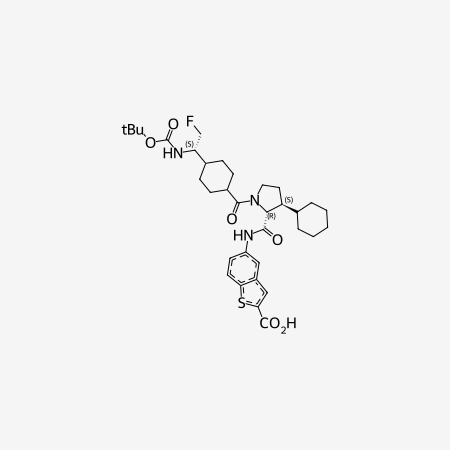 CC(C)(C)OC(=O)N[C@H](CF)C1CCC(C(=O)N2CC[C@@H](C3CCCCC3)[C@@H]2C(=O)Nc2ccc3sc(C(=O)O)cc3c2)CC1